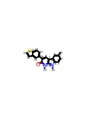 Cc1ccc2c(c1)c1cc(-c3ccc4sccc4c3)c(=O)n(C)c1n2C